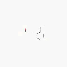 Cl.NCc1cc(F)ccc1NCC(=O)O